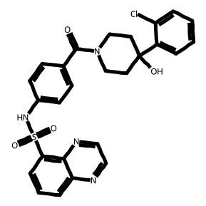 O=C(c1ccc(NS(=O)(=O)c2cccc3nccnc23)cc1)N1CCC(O)(c2ccccc2Cl)CC1